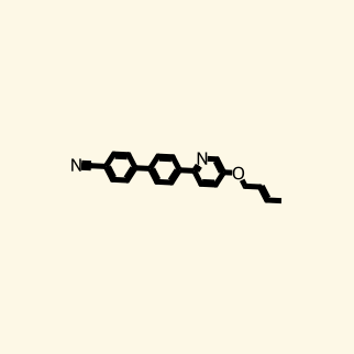 CC=CCOc1ccc(-c2ccc(-c3ccc(C#N)cc3)cc2)nc1